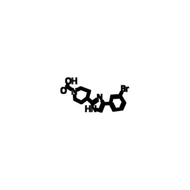 O=C(O)N1CCC(c2nc(-c3cccc(Br)c3)c[nH]2)CC1